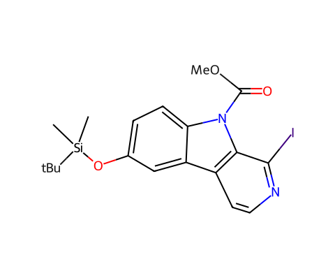 COC(=O)n1c2ccc(O[Si](C)(C)C(C)(C)C)cc2c2ccnc(I)c21